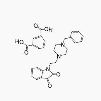 O=C(O)c1cccc(C(=O)O)c1.O=C1C(=O)N(CCN2CCN(Cc3ccccc3)CC2)c2ccccc21